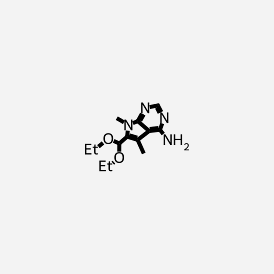 CCOC(OCC)c1c(C)c2c(N)ncnc2n1C